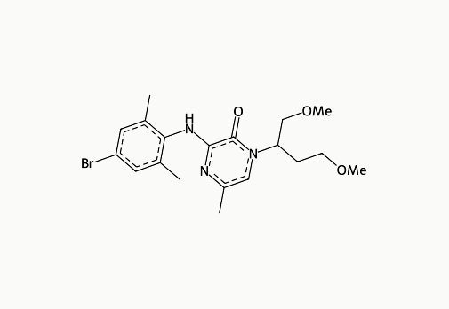 COCCC(COC)n1cc(C)nc(Nc2c(C)cc(Br)cc2C)c1=O